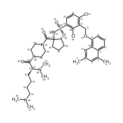 Cc1cc(C)c2cccc(OCc3c(Cl)ccc(S(=O)(=O)NC4(C(=O)N5CCN(C(=O)[C@H](CCCCN(C)C)N(C)C)CC5)CCCC4)c3Cl)c2n1